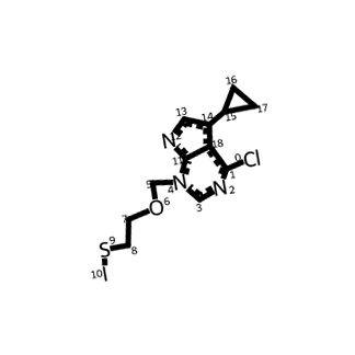 Clc1ncn(COCCSI)c2ncc(C3CC3)c1-2